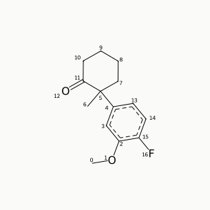 COc1cc(C2(C)CCCCC2=O)ccc1F